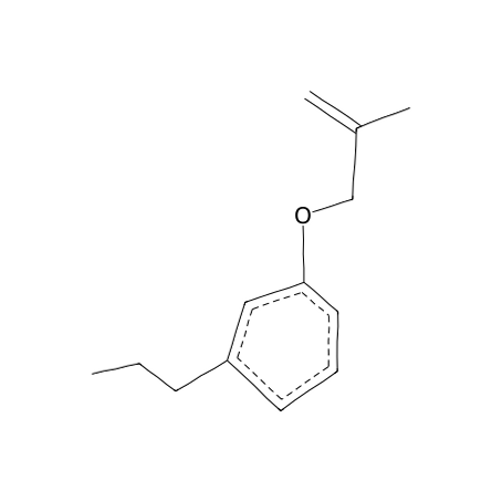 C=C(C)COc1cccc(CCC)c1